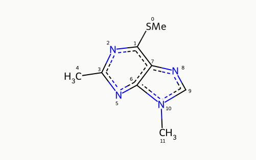 CSc1nc(C)nc2c1ncn2C